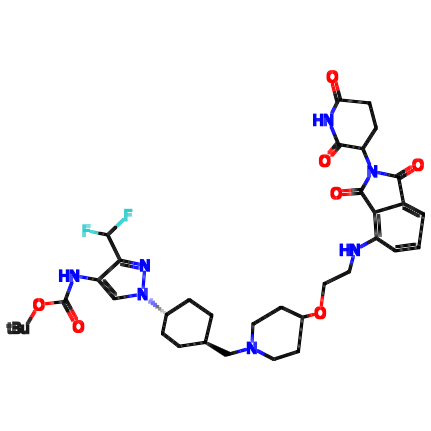 CC(C)(C)OC(=O)Nc1cn([C@H]2CC[C@H](CN3CCC(OCCNc4cccc5c4C(=O)N(C4CCC(=O)NC4=O)C5=O)CC3)CC2)nc1C(F)F